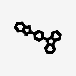 c1ccc2nn(-c3ccc(-n4c5ccccc5c5ccccc54)cc3)nc2c1